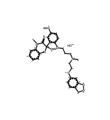 COc1ccc(OCCCN(C)CCOc2ccc3c(c2)OOC3)c(C2(OC)Sc3ccccc3N(C)C2=O)c1.Cl